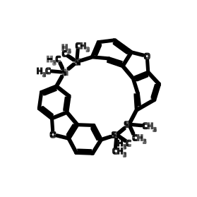 C[Si]1(C)c2ccc3oc4ccc(cc4c3c2)[Si](C)(C)[Si](C)(C)c2ccc3oc4ccc(cc4c3c2)[Si]1(C)C